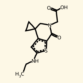 CCNc1cc2c(s1)C(=O)N(CC(=O)O)CC21CC1